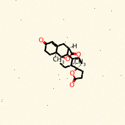 C[C@]12CCC(=O)C=C1C[C@H]1C(=O)O[C@@]23CC[C@@]2(C)C(CC[C@@]24CCC(=O)O4)C13